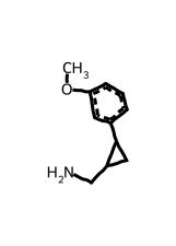 COc1cccc(C2CC2CN)c1